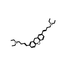 CCN(CC)CCC=Cc1ccc2c(c1)Cc1cc(C=CCCN(CC)CC)ccc1O2